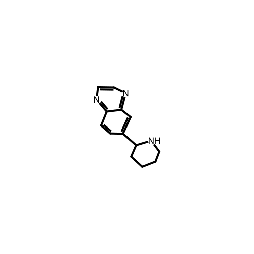 c1cnc2cc(C3CCCCN3)ccc2n1